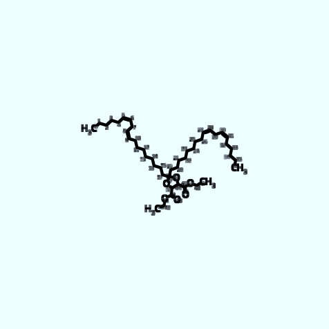 CCCCC/C=C\C/C=C\CCCCCCCCC1(CCCCCCCC/C=C\C/C=C\CCCCC)OC(C(=O)OCC)C(C(=O)OCC)O1